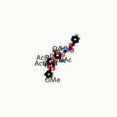 COc1ccc(C2OC[C@H]3O[C@@H](O[C@H]4[C@H](OC(C)=O)[C@@H](OC(C)=O)[C@H](OCCNC(=O)OCc5ccccc5)O[C@@H]4COC(C)=O)[C@H](OC(C)=O)[C@@H](OC(C)=O)[C@H]3O2)cc1